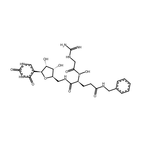 N=C(N)NCC(=O)N(O)[C@@H](CCC(=O)NCc1ccccc1)C(=O)NC[C@H]1O[C@@H](c2c[nH]c(=O)[nH]c2=O)[C@H](O)[C@@H]1O